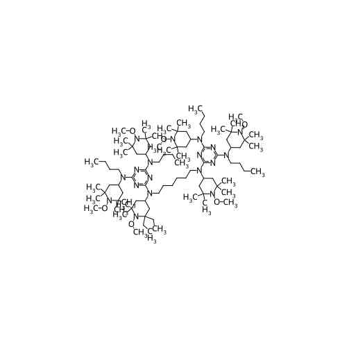 CCCCN(c1nc(N(CCCC)C2CC(C)(C)N(OC)C(C)(C)C2)nc(N(CCCCCCN(c2nc(N(CCCC)C3CC(C)(C)N(OC)C(C)(C)C3)nc(N(CCCC)C3CC(C)(C)N(OC)C(C)(C)C3)n2)C2CC(C)(C)N(OC)C(CC)(CC)C2)C2CC(C)(C)N(OC)C(C)(C)C2)n1)C1CC(C)(C)N(OC)C(C)(C)C1